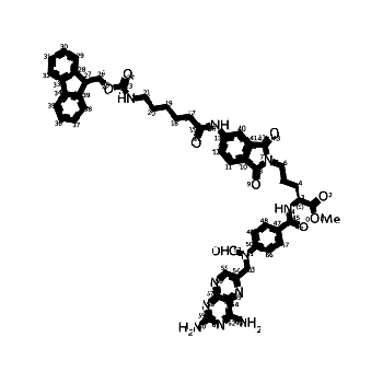 COC(=O)[C@H](CCCN1C(=O)c2ccc(NC(=O)CCCCCNC(=O)OCC3c4ccccc4-c4ccccc43)cc2C1=O)NC(=O)c1ccc(N(C=O)Cc2cnc3nc(N)nc(N)c3n2)cc1